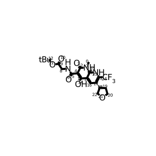 CN1C(=O)C(C(=O)NCC(=O)OC(C)(C)C)=C(O)C2=CC([C@@H]3CCOC3)=C(C(F)(F)F)N[C@@H]21